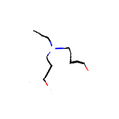 O=C([O-])CN(CCCO)CCCO.[Na+]